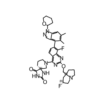 Cc1cc2c(cnn2C2CCCCO2)c(-c2ccc3c(N4CCC[C@]5(C4)NC(=O)NC5=O)nc(OC[C@@]45CCCN4C[C@H](F)C5)nc3c2F)c1C